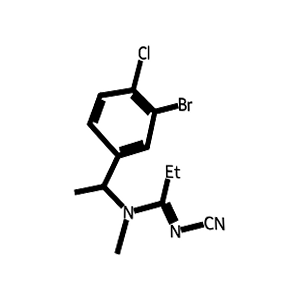 CC/C(=N\C#N)N(C)C(C)c1ccc(Cl)c(Br)c1